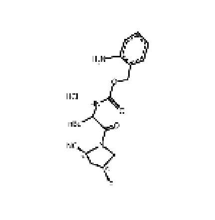 CCCCC(NC(=O)OCc1ccccc1N)C(=O)N1C[C@@H](F)C[C@H]1C#N.Cl